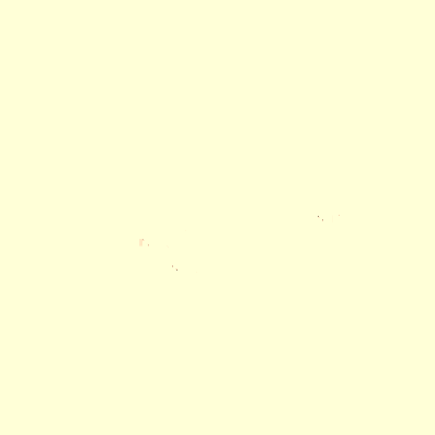 CC(=O)Nc1ccc(OC2CCC(NC(=O)Nc3ccc(OC(F)(F)F)c(F)c3)CC2)cc1